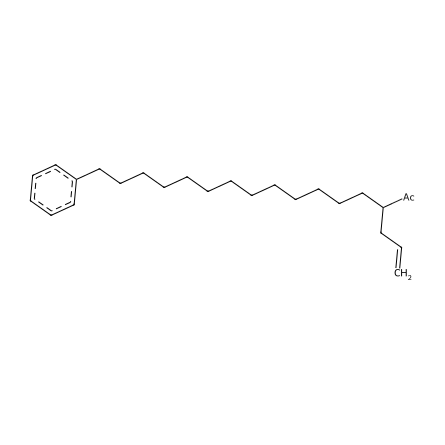 C=CCC(CCCCCCCCCCCCCc1ccccc1)C(C)=O